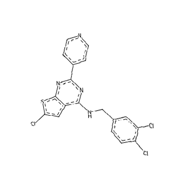 Clc1cc2c(NCc3ccc(Cl)c(Cl)c3)nc(-c3ccncc3)nc2s1